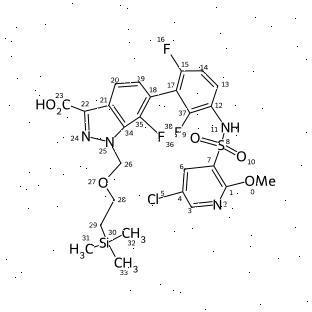 COc1ncc(Cl)cc1S(=O)(=O)Nc1ccc(F)c(-c2ccc3c(C(=O)O)nn(COCC[Si](C)(C)C)c3c2F)c1F